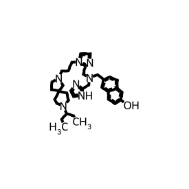 CCC(CC)N1CCC2(CCN(CCCn3ccnc3CN(Cc3ccc4cc(O)ccc4c3)Cc3ncc[nH]3)C2)CC1